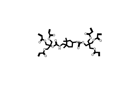 C=CC(=O)OCC(COC(=O)C=C)(COC(=O)C=C)COC(=O)NC1CCC(C)(CNC(=O)OC(COC(=O)C=C)(COC(=O)C=C)COC(=O)C=C)C(C)(C)C1